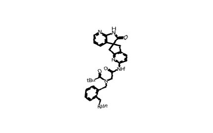 CNCc1ccccc1CN(CC(=O)Nc1ccc2c(n1)CC1(C2)C(=O)Nc2ncccc21)C(=O)C(C)(C)C